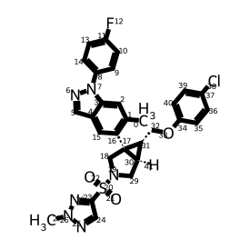 Cc1cc2c(cnn2-c2ccc(F)cc2)cc1[C@@]12CN(S(=O)(=O)c3cnn(C)n3)C[C@@H]1[C@H]2COc1ccc(Cl)cc1